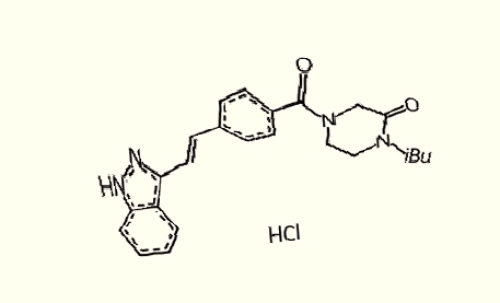 CCC(C)N1CCN(C(=O)c2ccc(C=Cc3n[nH]c4ccccc34)cc2)CC1=O.Cl